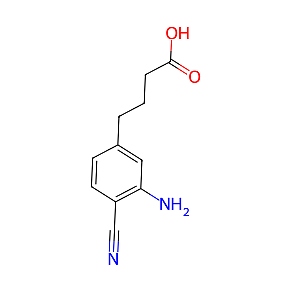 N#Cc1ccc(CCCC(=O)O)cc1N